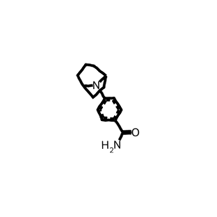 NC(=O)c1ccc(N2C3CCCC2CC3)cc1